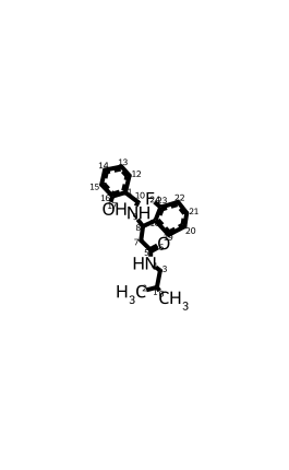 CC(C)CNC(=O)CC(NCc1ccccc1O)c1ccccc1F